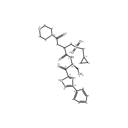 CC[C@H](NC(=O)C(CC(=O)N1CCOCC1)CS(=O)(=O)CC1CC1)C(=O)c1nc(-c2ccccc2)no1